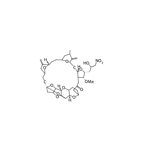 C=C1C(C)CC2CC[C@@H]3OC(CC[C@@]45CC6OC7C(O4)[C@H]4OC(CCC4O[C@H]7C6O5)CC(=O)CC4[C@H](CC1O2)O[C@H](CC(O)C[N+](=O)[O-])[C@@H]4OC)CC3=C